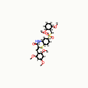 COc1cc(OC)c(/C=C2\Sc3ccc(S(=O)(=O)Cc4c(OC)cccc4OC)cc3NC2=O)c(OC)c1